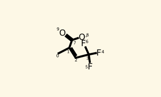 CC(=CC(F)(F)F)C([O])=O